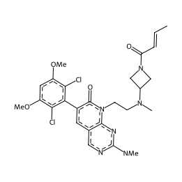 CC=CC(=O)N1CC(N(C)CCn2c(=O)c(-c3c(Cl)c(OC)cc(OC)c3Cl)cc3cnc(NC)nc32)C1